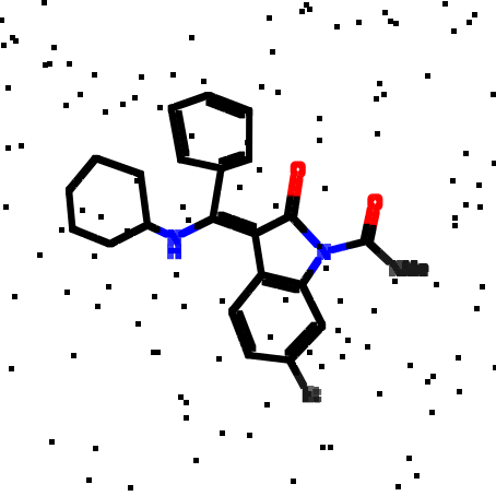 CCc1ccc2c(c1)N(C(=O)NC)C(=O)C2=C(NC1CCCCC1)c1ccccc1